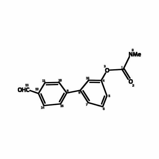 CNC(=O)Oc1cccc(-c2ccc(C=O)cc2)c1